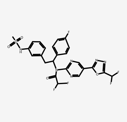 CS(=O)(=O)Nc1cccc(CC(c2ccc(F)cc2)N(C(=O)C(F)F)c2ncc(-c3nnc(C(F)F)o3)cn2)c1